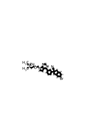 CCS(C)(C)CCOCn1ccc2c(-c3cccc(C4(C#N)Cc5ccc(Br)cc5C4)c3)ncnc21